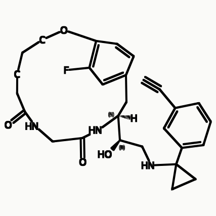 C#Cc1cccc(C2(NC[C@@H](O)[C@@H]3Cc4ccc(c(F)c4)OCCCCC(=O)NCC(=O)N3)CC2)c1